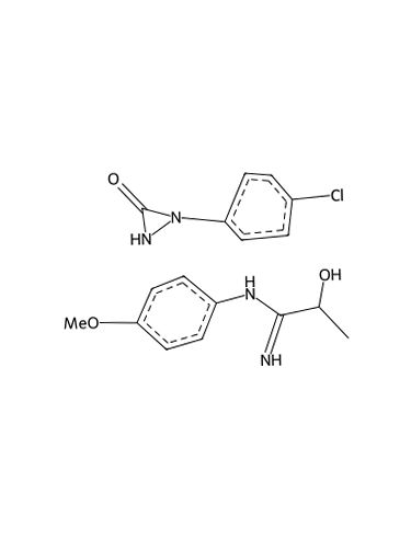 COc1ccc(NC(=N)C(C)O)cc1.O=C1NN1c1ccc(Cl)cc1